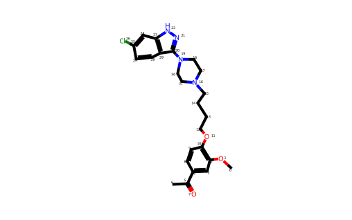 COc1cc(C(C)=O)ccc1OCCCCN1CCN(c2n[nH]c3cc(Cl)ccc23)CC1